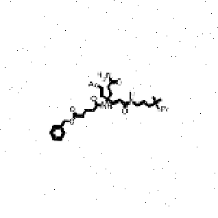 CCCC(C)(C)CCCNC(=O)CCC(CCC(C)=O)(CCC(N)=O)NC(=O)CCCC(=O)OCc1ccccc1